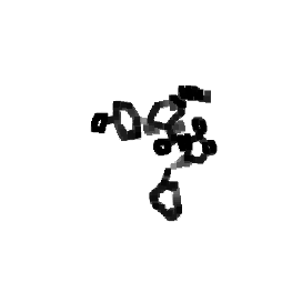 CC(C)(C)N1C[C@@H](C(=O)N2C(=O)OC[C@@H]2Cc2ccccc2)[C@H](c2ccc(Cl)cc2)C1